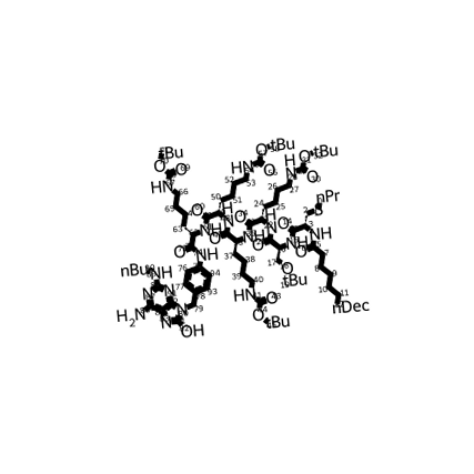 [CH2][CH]CSC[C@H](NC(=O)CCCCCCCCCCCCCCC)C(=O)N[C@@H](COC(C)(C)C)C(=O)N[C@@H](CCCCNC(=O)OC(C)(C)C)C(=O)N[C@@H](CCCCNC(=O)OC(C)(C)C)C(=O)N[C@@H](CCCCNC(=O)OC(C)(C)C)C(=O)N[C@@H](CCCCNC(=O)OC(C)(C)C)C(=O)Nc1ccc(Cn2c(O)nc3c(N)nc(NCCCC)nc32)cc1